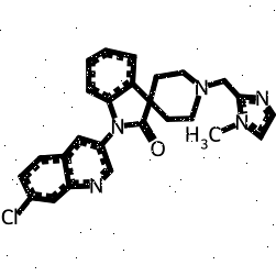 Cn1ccnc1CN1CCC2(CC1)C(=O)N(c1cnc3cc(Cl)ccc3c1)c1ccccc12